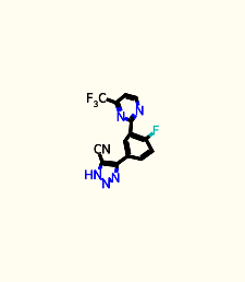 N#Cc1[nH]nnc1-c1ccc(F)c(-c2nccc(C(F)(F)F)n2)c1